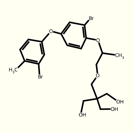 Cc1ccc(Oc2ccc(OC(C)COCC(CO)(CO)CO)c(Br)c2)cc1Br